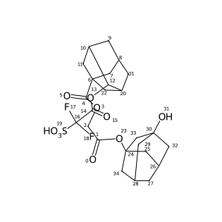 O=C(COC(=O)C12CC3CC(C1)C(OC(=O)C(F)(F)S(=O)(=O)O)C(C3)C2)OC12CC3CC(CC(O)(C3)C1)C2